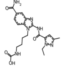 CCn1nc(C)cc1C(=O)Nc1nc2cc(C(N)=O)ccc2n1CCCCNC(=O)O